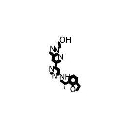 C[C@H](CNc1cc(-c2cnc3c(cnn3CCO)c2)ncn1)c1cccc2c1OCC2